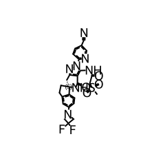 CS(=O)(=O)CC(=O)Nc1c2c(nn1-c1ccc(C#N)cn1)C[C@]1(CCc3cc(N4CC(F)(F)C4)ccc31)NC2=O